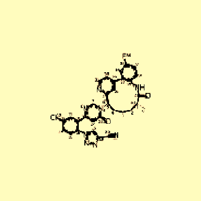 C[C@@H]1CCC[C@H](n2cnc(-c3cc(Cl)ccc3-n3cc(C#N)nn3)cc2=O)c2cc(ccn2)-c2cc(F)ccc2NC1=O